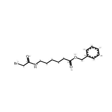 O=C(CBr)NCCCCCC(=O)OCc1ccccc1